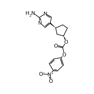 Nc1ncc([C@H]2CC[C@@H](OC(=O)Oc3ccc([N+](=O)[O-])cc3)C2)cn1